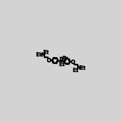 CCCC(CC)(c1ccc(OCCN(CC)CC)cc1)c1ccc(OCCN(CC)CC)cc1